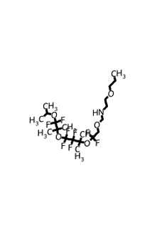 CCCOCCNCOCC(F)(F)OC(C)(C)C(F)(F)C(F)(F)OC(C)(C)C(F)(F)OC(C)C